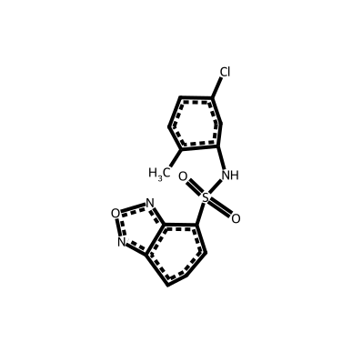 Cc1ccc(Cl)cc1NS(=O)(=O)c1cccc2nonc12